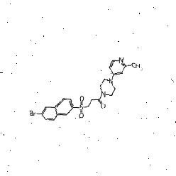 Cc1cc(N2CCN(C(=O)CCS(=O)(=O)c3ccc4cc(Br)ccc4c3)CC2)ccn1